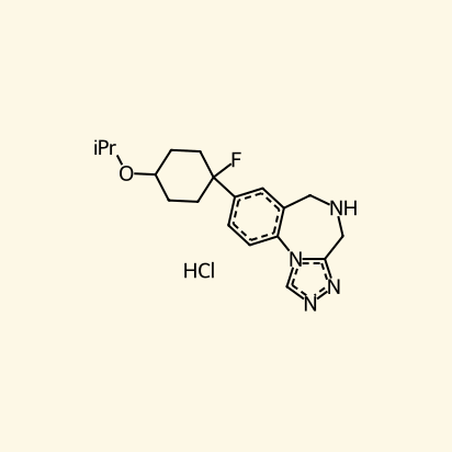 CC(C)OC1CCC(F)(c2ccc3c(c2)CNCc2nncn2-3)CC1.Cl